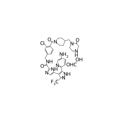 Nc1ccc(-c2[nH]nc(C(F)(F)F)c2-c2cnc(C(=O)NCc3ccc(C(=O)N4CCC(CN5CCNCC5=O)CC4)c(Cl)c3)[nH]2)nc1.O=CO